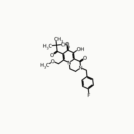 COCc1c(C(=O)C(C)(C)C)c(=O)c(O)c2n1CCN(Cc1ccc(F)cc1)C2=O